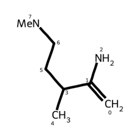 C=C(N)C(C)CCNC